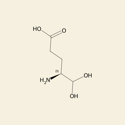 N[C@@H](CCC(=O)O)C(O)O